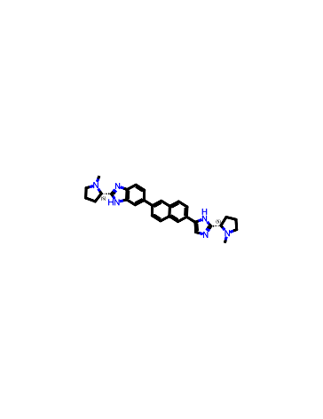 CN1CCC[C@H]1c1ncc(-c2ccc3cc(-c4ccc5nc([C@@H]6CCCN6C)[nH]c5c4)ccc3c2)[nH]1